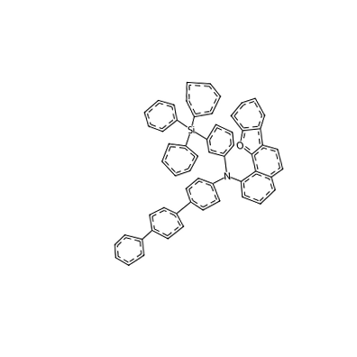 c1ccc(-c2ccc(-c3ccc(N(c4cccc([Si](c5ccccc5)(c5ccccc5)c5ccccc5)c4)c4cccc5ccc6c7ccccc7oc6c45)cc3)cc2)cc1